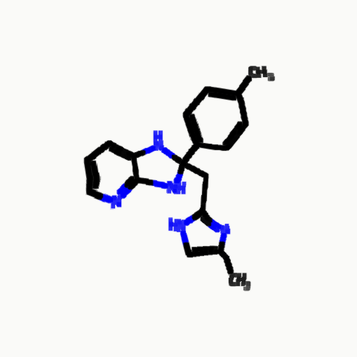 Cc1ccc(C2(Cc3nc(C)c[nH]3)Nc3cccnc3N2)cc1